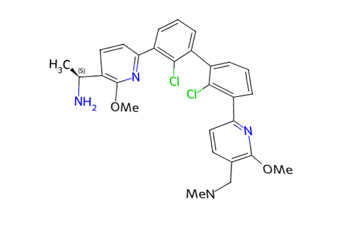 CNCc1ccc(-c2cccc(-c3cccc(-c4ccc([C@H](C)N)c(OC)n4)c3Cl)c2Cl)nc1OC